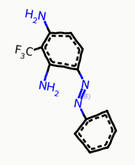 Nc1ccc(/N=N/c2ccccc2)c(N)c1C(F)(F)F